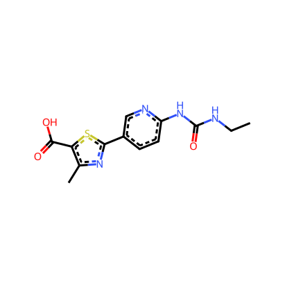 CCNC(=O)Nc1ccc(-c2nc(C)c(C(=O)O)s2)cn1